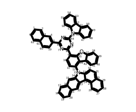 c1ccc2cc(-c3nc(-c4ccc(-n5c6cc7ccccc7cc6c6c7ccccc7ccc65)c5c4oc4ccccc45)nc(-n4c5ccccc5c5ccccc54)n3)ccc2c1